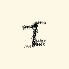 CCCCCCOc1ccc(/C=C/C(=O)Oc2ccc(OC(=O)/C=C/c3ccc(OCCCCCC)c(OCCCCCC)c3OCCCCCC)cc2)c(OCCCCCC)c1OCCCCCC